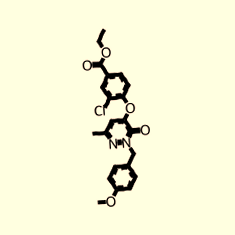 CCOC(=O)c1ccc(Oc2cc(C)nn(Cc3ccc(OC)cc3)c2=O)c(Cl)c1